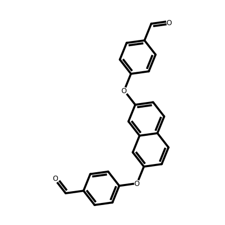 O=Cc1ccc(Oc2ccc3ccc(Oc4ccc(C=O)cc4)cc3c2)cc1